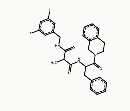 CC(C(=O)NCc1cc(F)cc(F)c1)C(=O)NC(Cc1ccccc1)C(=O)N1CCc2ccccc2C1